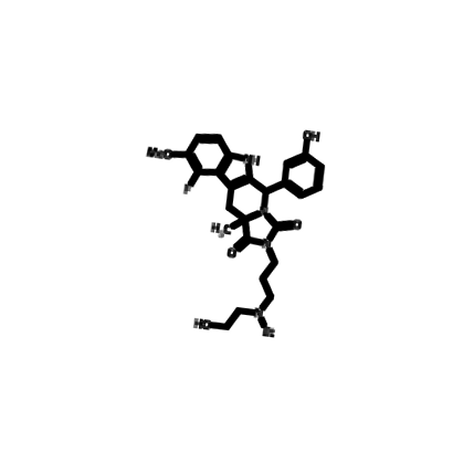 CCN(CCO)CCCN1C(=O)N2C(c3cccc(O)c3)c3[nH]c4ccc(OC)c(F)c4c3CC2(C)C1=O